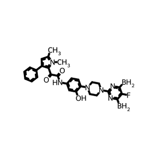 Bc1nc(N2CCN(c3ccc(NC(=O)C(=O)c4c(-c5ccccc5)cc(C)n4C)cc3O)CC2)nc(B)c1F